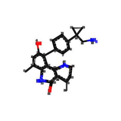 Cc1cc(O)c(-c2ccc(C3(CN)CC3)cc2)c2c1[nH]c(=O)c1c(C)ccnc12